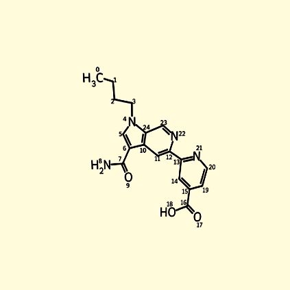 CCCCn1cc(C(N)=O)c2cc(-c3cc(C(=O)O)ccn3)ncc21